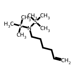 C=CCCCCN(S(C)(C)C)S(C)(C)C